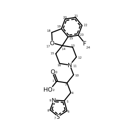 O=C(O)C(Cc1cscn1)CN1CCC2(CC1)OCc1cccc(F)c12